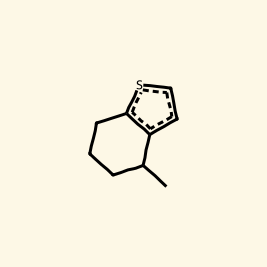 CC1CCCc2sccc21